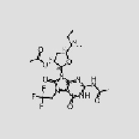 CC[C@H](C)[C@@H]1C[C@@H](OC(C)=O)[C@H](n2c(=O)n(CC(F)(F)F)c3c(=O)[nH]c(NC(C)=O)nc32)O1